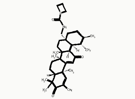 C[C@@H]1[C@H]2[C@H]3C(=O)C=C4[C@@]5(C)C=C(C#N)C(=O)C(C)(C)[C@@H]5CC[C@@]4(C)[C@]3(C)CC[C@@]2(CNC(=O)N2CCC2)CC[C@H]1C